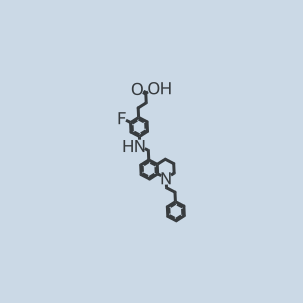 O=C(O)CCc1ccc(NCc2cccc3c2CCCN3CCc2ccccc2)cc1F